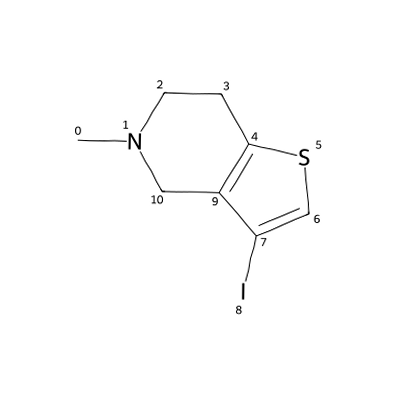 CN1CCc2scc(I)c2C1